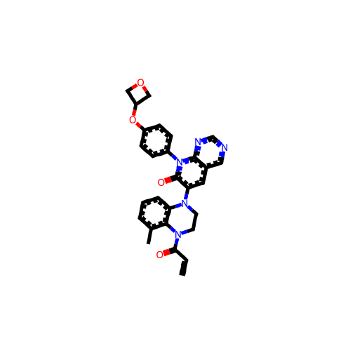 C=CC(=O)N1CCN(c2cc3cncnc3n(-c3ccc(OC4COC4)cc3)c2=O)c2cccc(C)c21